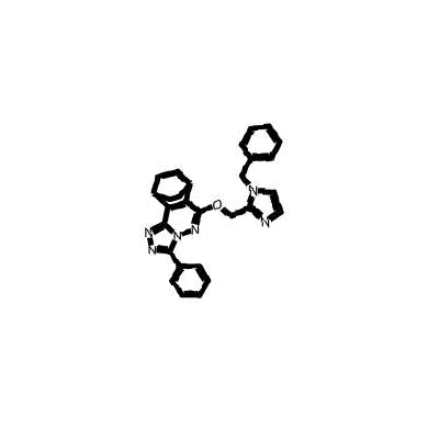 c1ccc(Cn2ccnc2COc2nn3c(-c4ccccc4)nnc3c3c2C2CCC3CC2)cc1